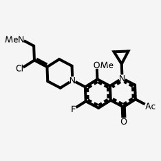 CNCC(Cl)=C1CCN(c2c(F)cc3c(=O)c(C(C)=O)cn(C4CC4)c3c2OC)CC1